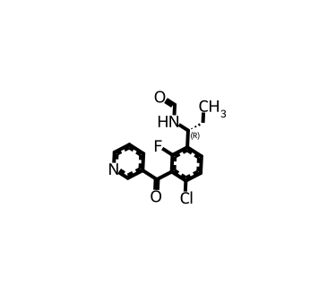 CC[C@@H](NC=O)c1ccc(Cl)c(C(=O)c2cccnc2)c1F